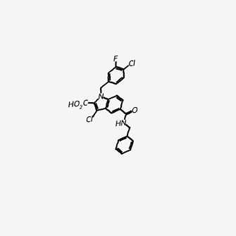 O=C(NCc1ccccc1)c1ccc2c(c1)c(Cl)c(C(=O)O)n2Cc1ccc(Cl)c(F)c1